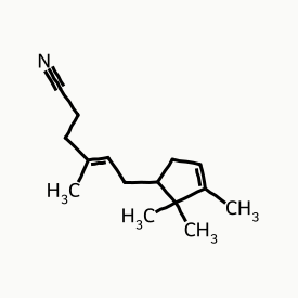 CC1=CCC(C/C=C(\C)CCC#N)C1(C)C